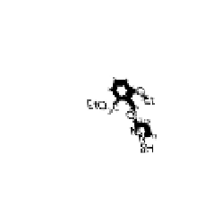 CCOC(=O)c1cccc(OCC)c1COc1ccn(S)n1